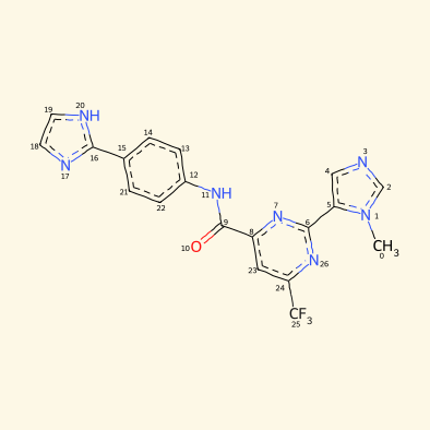 Cn1cncc1-c1nc(C(=O)Nc2ccc(-c3ncc[nH]3)cc2)cc(C(F)(F)F)n1